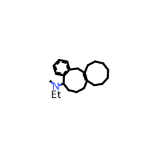 CCN(C)C1CCC/C2=C(/CCCCCCC2)Cc2ccccc21